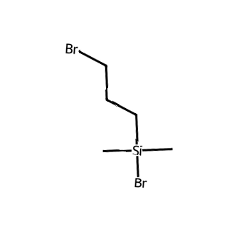 C[Si](C)(Br)CCCBr